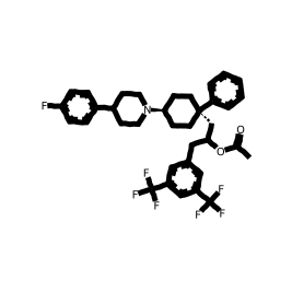 CC(=O)OC(Cc1cc(C(F)(F)F)cc(C(F)(F)F)c1)C[C@]1(c2ccccc2)CC[C@@H](N2CCC(c3ccc(F)cc3)CC2)CC1